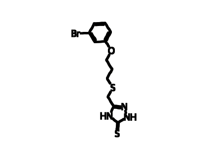 S=c1[nH]nc(CSCCCOc2cccc(Br)c2)[nH]1